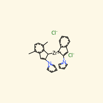 Cc1ccc(C)c2c1C=C(n1cccc1)[CH]2[Zr+2][CH]1C(n2cccc2)=Cc2ccccc21.[Cl-].[Cl-]